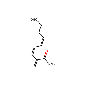 C=C(/C=C\C=C/CCC=O)C(=O)NC